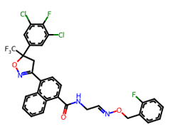 O=C(NCC=NOCc1ccccc1F)c1ccc(C2=NOC(c3cc(Cl)c(F)c(Cl)c3)(C(F)(F)F)C2)c2ccccc12